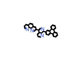 c1cnc2c(c1)ccc1cc(-c3cnc(-c4ccc5c6ccccc6c6ccccc6c5c4)c4ncccc34)cnc12